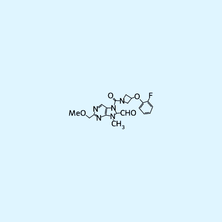 COCc1ncc2c(n1)N(C)C(C=O)N2C(=O)N1CC(Oc2ccccc2F)C1